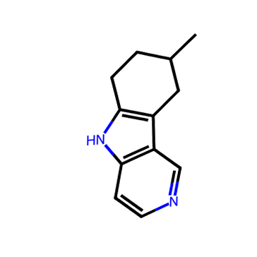 CC1CCc2[nH]c3ccncc3c2C1